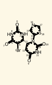 O=c1[nH]cc(Br)c(=O)[nH]1.O=c1ccn(-c2cncs2)c(=O)[nH]1